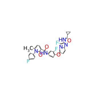 Cc1ccc(C(=O)Nc2ccc(Oc3ccc4nc(NC(=O)C5CC5)c(F)n4c3)c(F)c2)c(=O)n1-c1ccc(F)cc1